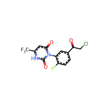 O=C(CCl)c1ccc(F)c(-n2c(=O)cc(C(F)(F)F)[nH]c2=O)c1